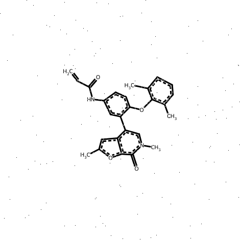 C=CC(=O)Nc1ccc(Oc2c(C)cccc2C)c(-c2cn(C)c(=O)c3oc(C)cc23)c1